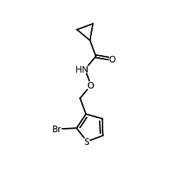 O=C(NOCc1ccsc1Br)C1CC1